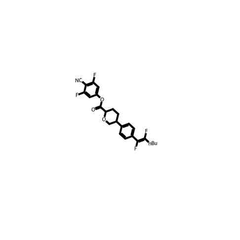 CCCC/C(F)=C(\F)c1ccc(C2CCC(C(=O)Oc3cc(F)c(C#N)c(F)c3)OC2)cc1